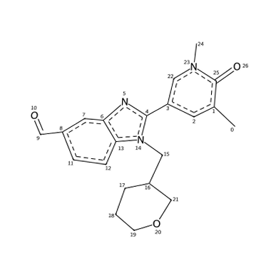 Cc1cc(-c2nc3cc(C=O)ccc3n2CC2CCCOC2)cn(C)c1=O